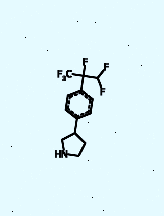 FC(F)C(F)(c1ccc(C2CCNC2)cc1)C(F)(F)F